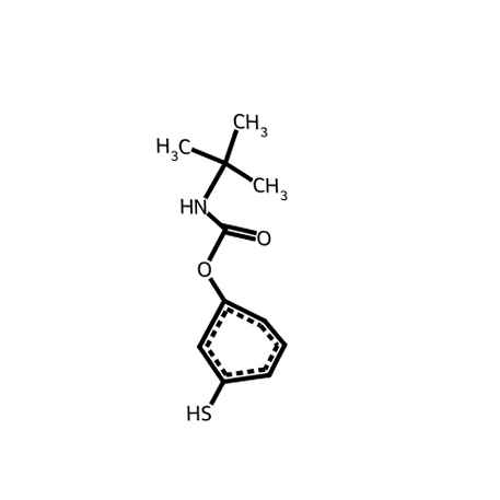 CC(C)(C)NC(=O)Oc1cccc(S)c1